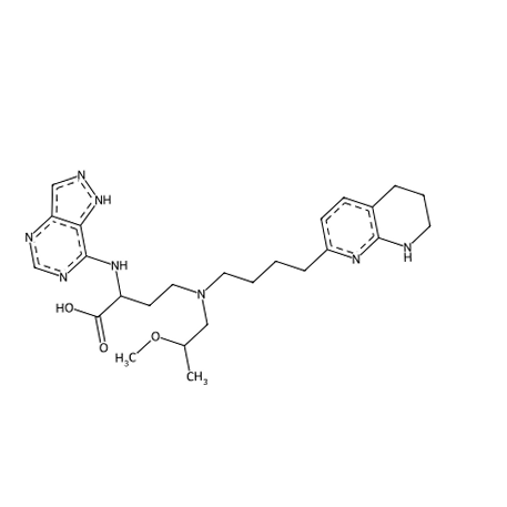 COC(C)CN(CCCCc1ccc2c(n1)NCCC2)CCC(Nc1ncnc2cn[nH]c12)C(=O)O